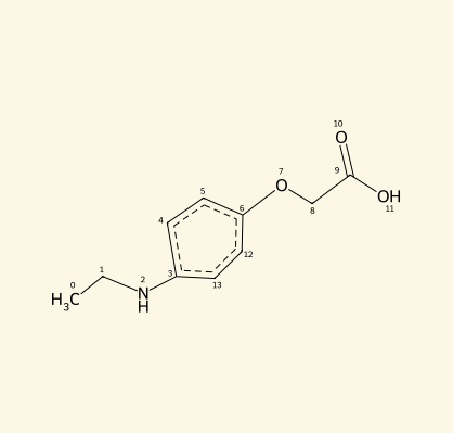 CCNc1ccc(OCC(=O)O)cc1